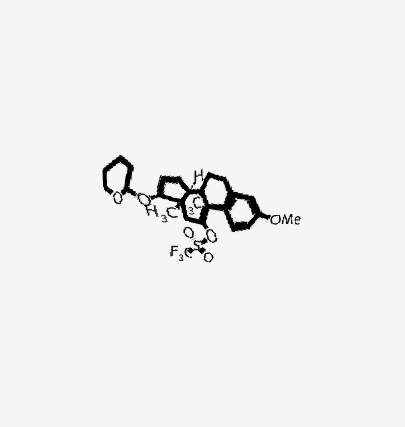 COc1ccc2c(c1)CC[C@]1(C)C2=C(OS(=O)(=O)C(F)(F)F)C[C@]2(C)[C@@H](OC3CCCCO3)CC[C@H]21